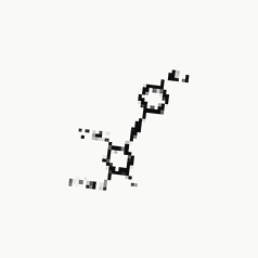 CCCCCc1cc(OC)c(C#Cc2ccc(CCCC)cc2)cc1F